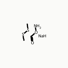 CSSC.NOC=O.[NaH]